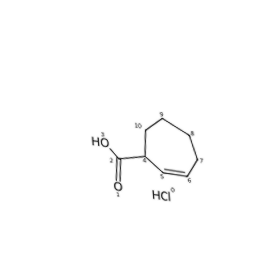 Cl.O=C(O)C1C=CCCCC1